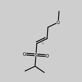 COC/C=C/S(=O)(=O)C(C)C